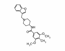 COc1cc(C(=O)NC2CCN(Cc3coc4ccccc34)CC2)cc(OC)c1C